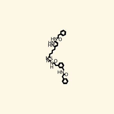 O=C(Cc1ccccc1)NCc1cccc(CC(=O)Nc2nnc(CCCCC3=CC=C(NC(=O)Cc4ccccc4)NN3)s2)c1